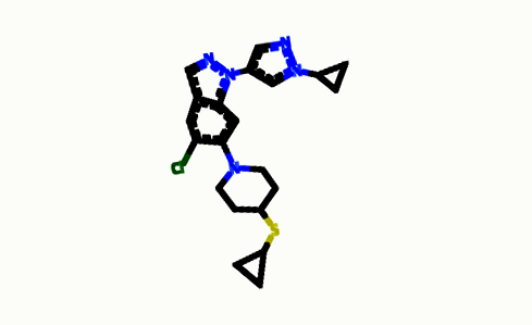 Clc1cc2cnn(-c3cnn(C4CC4)c3)c2cc1N1CCC(SC2CC2)CC1